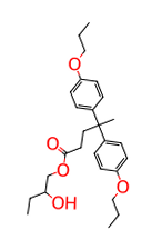 CCCOc1ccc(C(C)(CCC(=O)OCC(O)CC)c2ccc(OCCC)cc2)cc1